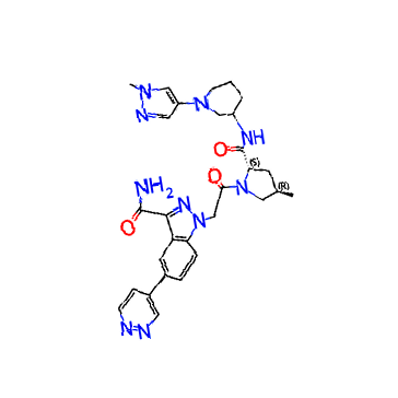 C[C@@H]1C[C@@H](C(=O)NC2CCCN(c3cnn(C)c3)C2)N(C(=O)Cn2nc(C(N)=O)c3cc(-c4ccnnc4)ccc32)C1